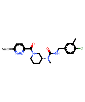 COc1ccc(C(=O)N2CCC[C@@H](N(C)C(=O)NCc3ccc(Cl)c(C)c3)C2)nn1